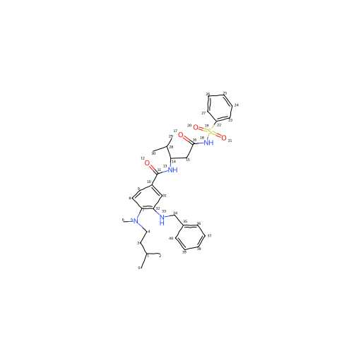 CC(C)CCN(C)c1ccc(C(=O)NC(CC(=O)NS(=O)(=O)c2ccccc2)C(C)C)cc1NCc1ccccc1